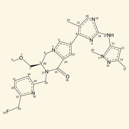 COC[C@H]1Cn2cc(-c3nc(Nc4cc(C)nn4C)ncc3C)cc2C(=O)N1Cc1cccc(CF)n1